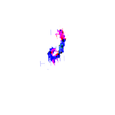 CN1CCN([C@@H]2CCCN(c3nnc(C(N)=O)c(Nc4ccc(C5CCN(CC6(F)CCN(c7ccc8c(c7)C(=O)N(C7CCC(=O)NC7=O)C8=O)CC6)CC5)cc4)n3)C2)C1=O